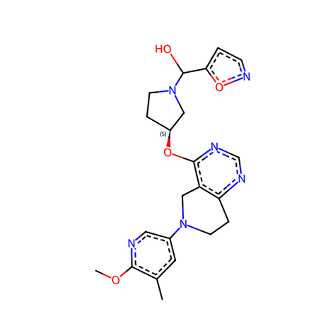 COc1ncc(N2CCc3ncnc(O[C@H]4CCN(C(O)c5ccno5)C4)c3C2)cc1C